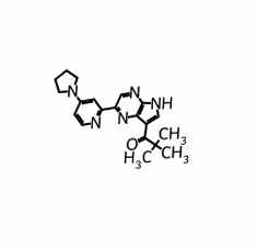 CC(C)(C)C(=O)c1c[nH]c2ncc(-c3cc(N4CCCC4)ccn3)nc12